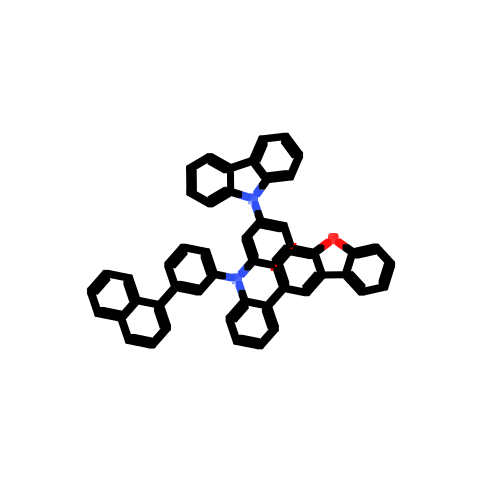 c1cc(-c2cccc3ccccc23)cc(N(c2cccc(-n3c4ccccc4c4ccccc43)c2)c2ccccc2-c2ccc3oc4ccccc4c3c2)c1